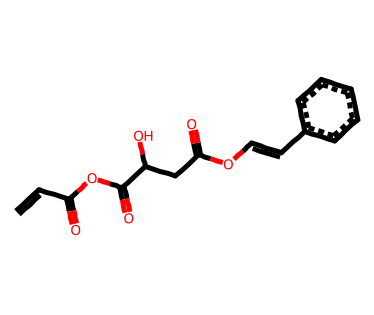 C=CC(=O)OC(=O)C(O)CC(=O)OC=Cc1ccccc1